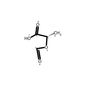 C[C@H](OC=O)C(=O)O